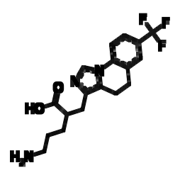 NCCCC(Cc1ncn2c1CCc1cc(C(F)(F)F)ccc1-2)C(=O)O